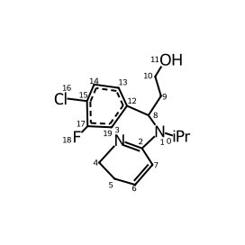 CC(C)N(C1=NCCC=C1)C(CCO)c1ccc(Cl)c(F)c1